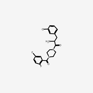 NC(Cc1cccc(Cl)c1)C(=O)N1CCN(C(=O)c2cc(F)ccc2F)CC1